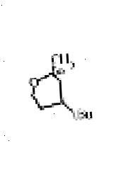 C[C@H]1CC(C(C)(C)C)CCO1